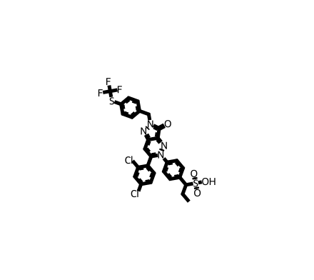 CCC(c1ccc(-n2nc3c(=O)n(Cc4ccc(SC(F)(F)F)cc4)nc-3cc2-c2ccc(Cl)cc2Cl)cc1)S(=O)(=O)O